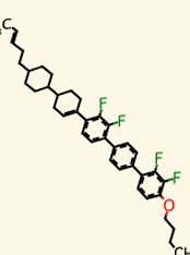 C/C=C/CCC1CCC(C2CC=C(c3ccc(-c4ccc(-c5ccc(OCCCC)c(F)c5F)cc4)c(F)c3F)CC2)CC1